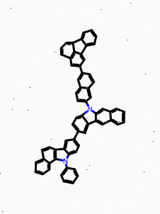 c1ccc(-n2c3ccc(-c4ccc5c(c4)c4cc6ccccc6cc4n5-c4ccc5cc(-c6cc7c8c(cccc8c6)-c6ccccc6-7)ccc5c4)cc3c3ccc4ccccc4c32)cc1